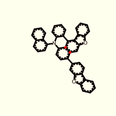 c1ccc(N(c2ccc(-c3ccc4c(c3)oc3ccccc34)cc2)c2cccc3ccccc23)c(-c2cccc3oc4ccccc4c23)c1